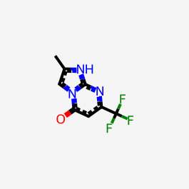 Cc1cn2c(=O)cc(C(F)(F)F)nc2[nH]1